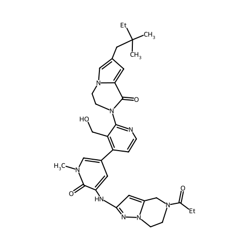 CCC(=O)N1CCn2nc(Nc3cc(-c4ccnc(N5CCn6cc(CC(C)(C)CC)cc6C5=O)c4CO)cn(C)c3=O)cc2C1